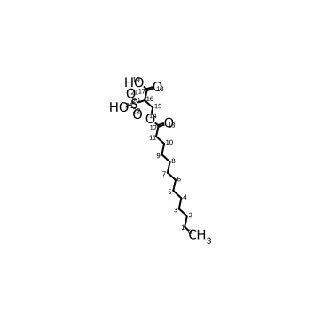 CCCCCCCCCCCCC(=O)OCC(C(=O)O)S(=O)(=O)O